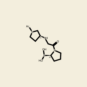 CC(=O)N1CC[C@H](NCC(=O)N2CCC[C@H]2B(O)O)C1